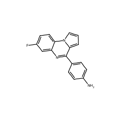 Nc1ccc(-c2nc3cc(F)ccc3n3cccc23)cc1